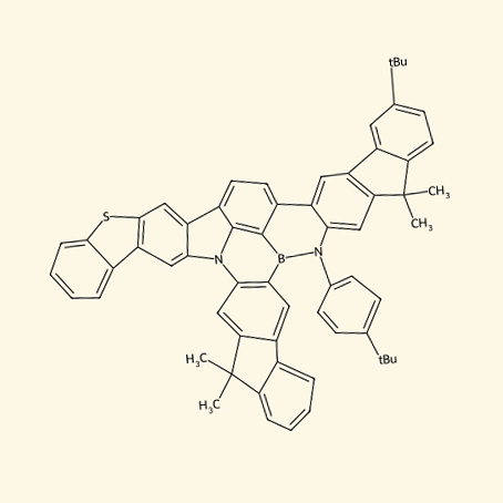 CC(C)(C)c1ccc(N2B3c4cc5c(cc4-n4c6cc7c(cc6c6ccc(c3c64)-c3cc4c(cc32)C(C)(C)c2ccc(C(C)(C)C)cc2-4)sc2ccccc27)C(C)(C)c2ccccc2-5)cc1